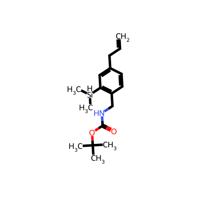 C=CCc1ccc(CNC(=O)OC(C)(C)C)c([SiH](C)C)c1